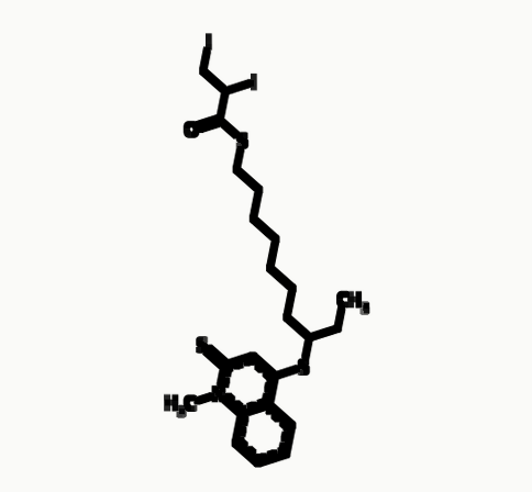 CCC(CCCCCCCSC(=O)C(I)CI)Sc1cc(=S)n(C)c2ccccc12